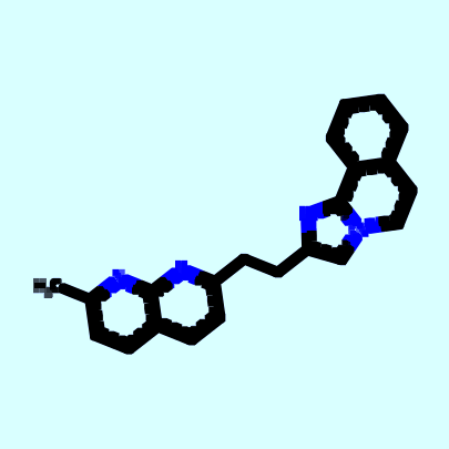 Cc1ccc2ccc(CCc3cn4ccc5ccccc5c4n3)nc2n1